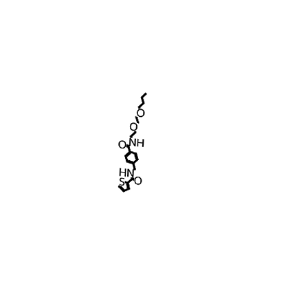 CCCCOCCOCCNC(=O)c1ccc(CNC(=O)c2cccs2)cc1